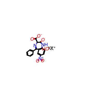 O=C([O-])C1N=C(c2ccccc2)c2cc([N+](=O)[O-])ccc2NC1=O.[K+].[K+].[OH-]